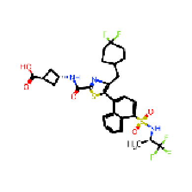 C[C@@H](NS(=O)(=O)c1ccc(-c2sc(C(=O)N[C@H]3C[C@H](C(=O)O)C3)nc2CC2CCC(F)(F)CC2)c2ccccc12)C(F)(F)F